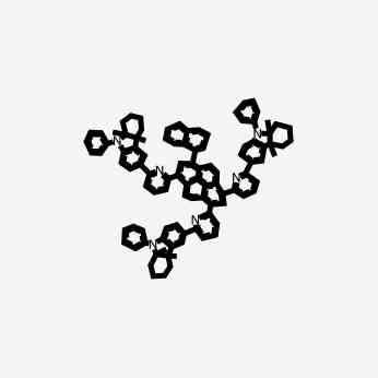 CC12CCCCC1(C)N(c1ccccc1)c1ccc(-c3cccc(-c4cc(-c5cccc(-c6ccc7c(c6)C6(C)CCCCC6(C)N7c6ccccc6)n5)c5ccc6c(-c7cccc8ccccc78)cc(-c7cccc(-c8ccc9c(c8)C8(C)CCCCC8(C)N9c8ccccc8)n7)c7ccc4c5c76)n3)cc12